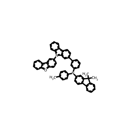 Cc1ccc(N(c2cccc(-c3ccc4c5ccccc5n(-c5ccc6oc7ccccc7c6c5)c4c3)c2)c2ccc3c(c2)C(C)(C)c2ccccc2-3)cc1